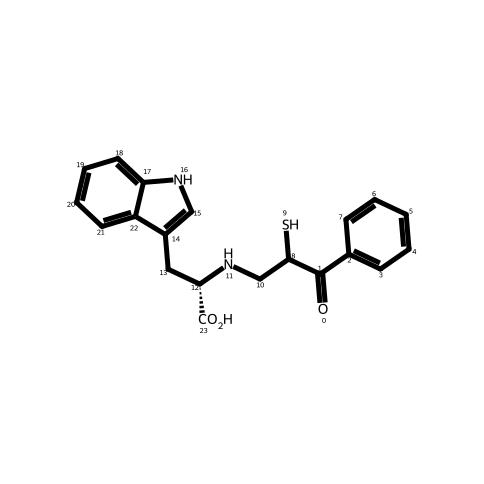 O=C(c1ccccc1)C(S)CN[C@@H](Cc1c[nH]c2ccccc12)C(=O)O